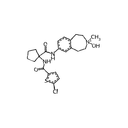 C[N+]1(O)CCc2ccc(NC(=O)C3(NC(=O)c4ccc(Cl)s4)CCCC3)cc2CC1